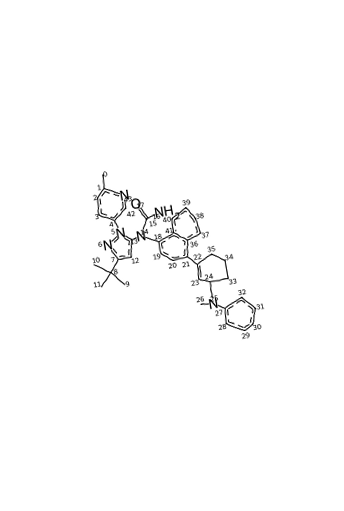 Cc1ccc(-n2nc(C(C)(C)C)cc2N(C(N)=O)c2ccc(C3=CC(N(C)c4ccccc4)CCC3)c3ccccc23)cn1